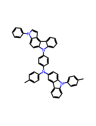 Cc1ccc(N(c2ccc(-n3c4ccccc4c4c5ccn(-c6ccccc6)c5ccc43)cc2)c2ccc3c(c2)c2ccccc2n3-c2ccc(C)cc2)cc1